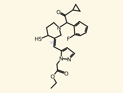 CCOC(=O)Cn1nccc1/C=C1\CN(C(C(=O)C2CC2)c2ccccc2F)CCC1S